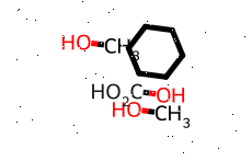 C1CCCCC1.CO.CO.O=C(O)O